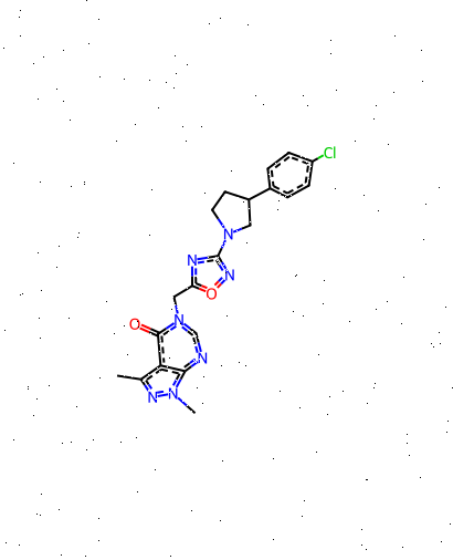 Cc1nn(C)c2ncn(Cc3nc(N4CCC(c5ccc(Cl)cc5)C4)no3)c(=O)c12